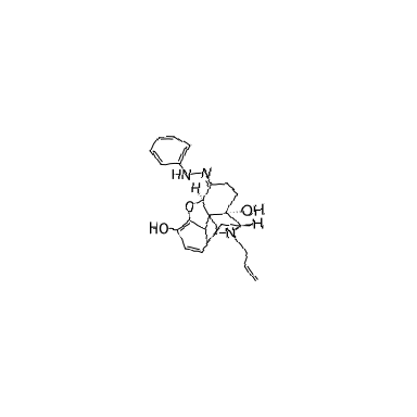 C=CCN1CCC23C4C5=C(O)C=CC4C[C@@H]1[C@]2(O)CC/C(=N/Nc1ccccc1)[C@@H]3O5